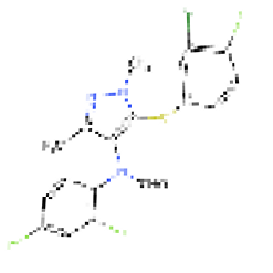 Cn1nc(C(F)(F)F)c(N(C=O)c2ccc(F)cc2F)c1Sc1ccc(F)c(Cl)c1